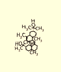 CC1=CCC(/C=C2/CCC[C@]3(C)CC[C@@H](C(C)(C)O)C[C@@H]23)[C@]2(C)CC[C@@H](C(C)(C)O)CC12